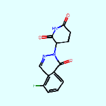 O=C1CCC(n2ncc3c(F)cccc3c2=O)C(=O)N1